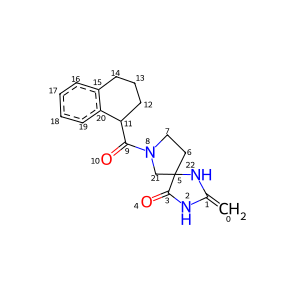 C=C1NC(=O)C2(CCN(C(=O)C3CCCc4ccccc43)C2)N1